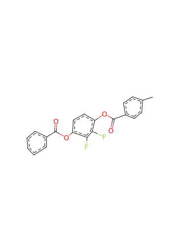 Cc1ccc(C(=O)Oc2ccc(OC(=O)c3ccccc3)c(F)c2F)cc1